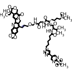 CC[C@@]1(O)C(=O)OCc2c1cc1n(c2=O)Cc2c-1nc1cc3c(cc1c2/C=C/COCNC(=O)CNC(=O)[C@H](CCCCN(C)C)NC(=O)[C@@H](NC(=O)CCCCCn1cc(-c2cnc(S(C)(=O)=O)nc2)nn1)C(C)C)OCO3